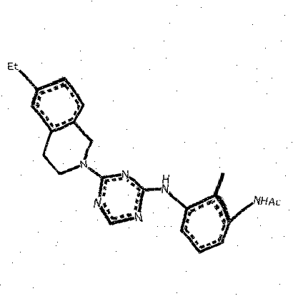 CCc1ccc2c(c1)CCN(c1ncnc(Nc3cccc(NC(C)=O)c3C)n1)C2